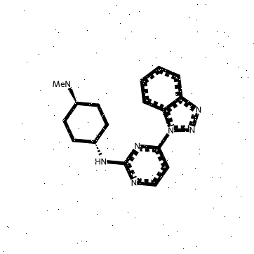 CN[C@H]1CC[C@H](Nc2nccc(-n3nnc4ccccc43)n2)CC1